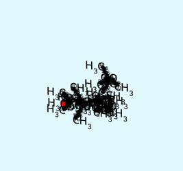 CCC(C)C(C)OC(=O)C(CC)(CC)C(=O)O.CCC(CC)(C(=O)O)C(=O)OC(C)C(C)C.CCCCCCC(CCCCCC)(C(=O)OCC)C(=O)OCC.CCCCCCCC(CCCCCCC)(C(=O)OCC)C(=O)OCC.CCOC(=O)C(CC)(CC)C(=O)OCC